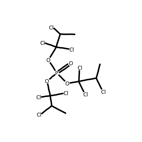 CC(Cl)C(Cl)(Cl)OP(=O)(OC(Cl)(Cl)C(C)Cl)OC(Cl)(Cl)C(C)Cl